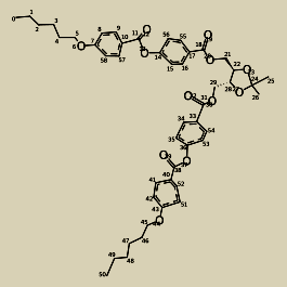 CCCCCCOc1ccc(C(=O)Oc2ccc(C(=O)OC[C@H]3OC(C)(C)O[C@@H]3COC(=O)c3ccc(OC(=O)c4ccc(OCCCCCC)cc4)cc3)cc2)cc1